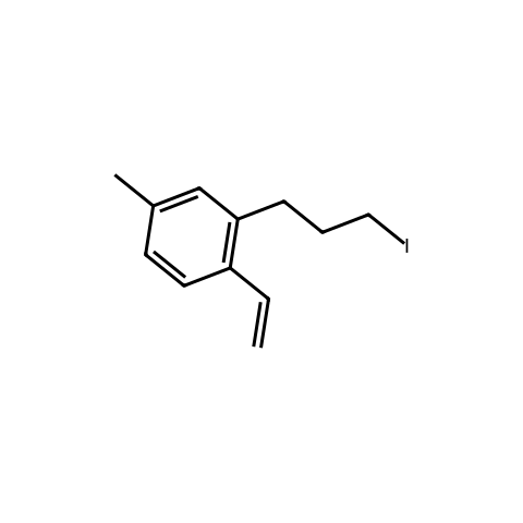 C=Cc1ccc(C)cc1CCCI